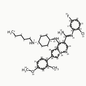 CCCCCN[C@H]1CC[C@H](Nc2c(C(N)=Nc3cc(F)ccc3Cl)cnn3cc(-c4ccc(OC)cc4C)cc23)CC1